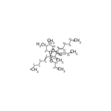 CCCCC=C[Si](OCCC)(OCCC)C(C)[Si](C=CCCCC)(OCCC)OCCC